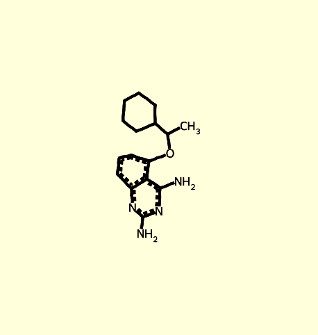 CC(Oc1cccc2nc(N)nc(N)c12)C1CCCCC1